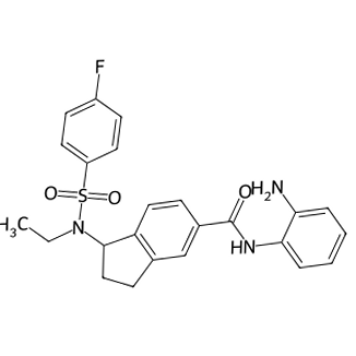 CCN(C1CCc2cc(C(=O)Nc3ccccc3N)ccc21)S(=O)(=O)c1ccc(F)cc1